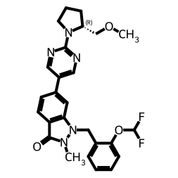 COC[C@H]1CCCN1c1ncc(-c2ccc3c(=O)n(C)n(Cc4ccccc4OC(F)F)c3c2)cn1